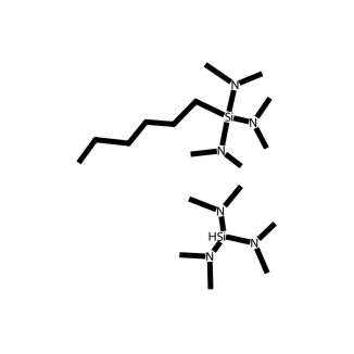 CCCCCC[Si](N(C)C)(N(C)C)N(C)C.CN(C)[SiH](N(C)C)N(C)C